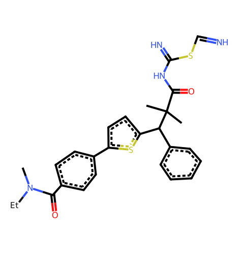 CCN(C)C(=O)c1ccc(-c2ccc(C(c3ccccc3)C(C)(C)C(=O)NC(=N)SC=N)s2)cc1